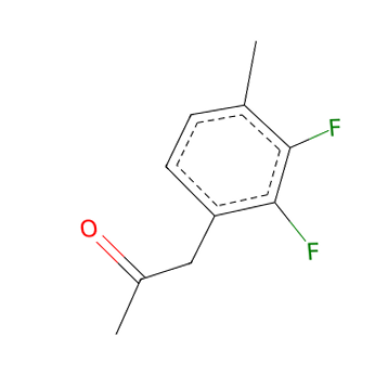 CC(=O)Cc1ccc(C)c(F)c1F